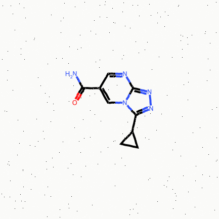 NC(=O)c1cnc2nnc(C3CC3)n2c1